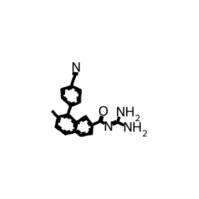 Cc1ccc2ccc(C(=O)N=C(N)N)cc2c1-c1ccc(C#N)cc1